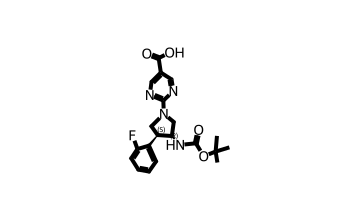 CC(C)(C)OC(=O)N[C@H]1CN(c2ncc(C(=O)O)cn2)C[C@@H]1c1ccccc1F